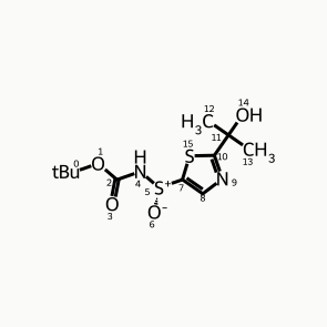 CC(C)(C)OC(=O)N[S@@+]([O-])c1cnc(C(C)(C)O)s1